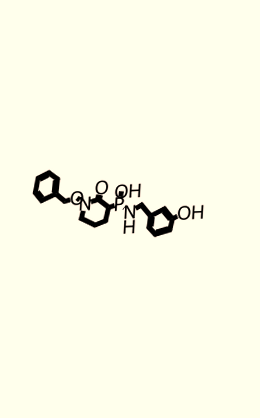 O=C1C(P(O)NCc2cccc(O)c2)CCCN1OCc1ccccc1